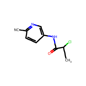 CC(Cl)C(=O)Nc1ccc(C#N)nc1